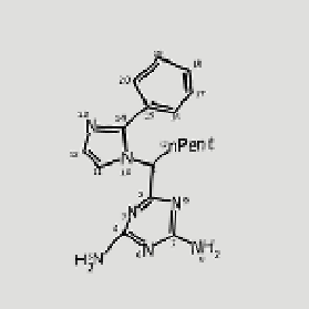 CCCCCC(c1nc(N)nc(N)n1)n1ccnc1-c1ccccc1